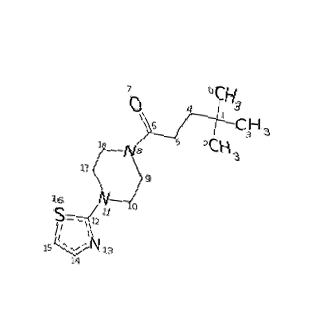 CC(C)(C)CCC(=O)N1CCN(c2nccs2)CC1